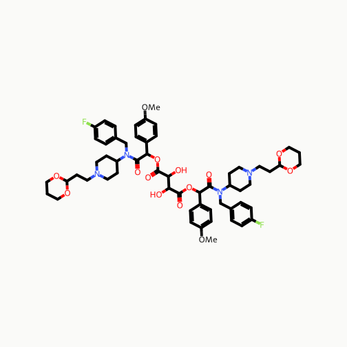 COc1ccc(C(OC(=O)C(O)C(O)C(=O)OC(C(=O)N(Cc2ccc(F)cc2)C2CCN(CCC3OCCCO3)CC2)c2ccc(OC)cc2)C(=O)N(Cc2ccc(F)cc2)C2CCN(CCC3OCCCO3)CC2)cc1